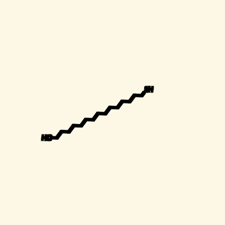 OCCCCCCCCCCCCCCCS